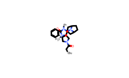 CC(C)N1C(=O)N(C)CC12CC1CCC(C2)N1C[C@H]1CN(C(=O)CC(C)(C)C)C[C@@H]1c1ccccc1